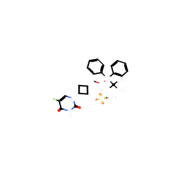 CC(C)(C)[Si](OC[C@H]1C[C@@H](n2cc(F)c(=O)[nH]c2=O)[C@H]1OS(C)(=O)=O)(c1ccccc1)c1ccccc1